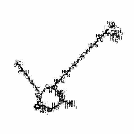 C/C(=N/O)C(C)(C)NCCC(CCNC(=O)CCCC(=O)NCCOCCOCCOCCOCCOCCNC(=O)COCC(=O)NCCCC[C@@H]1NC(=O)CSC[C@@H](C(=O)NCCOCCOCCOCCNC(=O)COCC(N)=O)NC(=O)[C@H](Cc2ccccc2)NC(=O)[C@H](CS)NC(=O)[C@H](CC(=O)O)NC(=O)CNC(=O)[C@H](CCCNC(=N)N)NC(=O)[C@H](CS)NC1=O)CCNC(C)(C)/C(C)=N\O